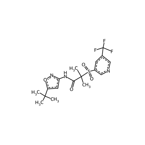 CC(C)(C)c1cc(NC(=O)C(C)(C)S(=O)(=O)c2cncc(C(F)(F)F)c2)no1